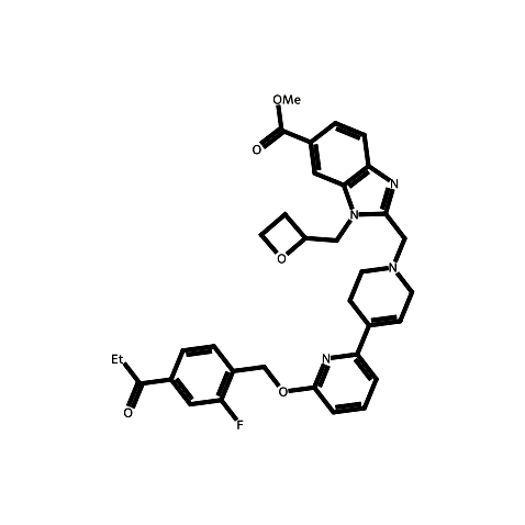 CCC(=O)c1ccc(COc2cccc(C3=CCN(Cc4nc5ccc(C(=O)OC)cc5n4CC4CCO4)CC3)n2)c(F)c1